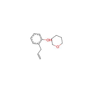 C1CCOCC1.C=CCc1ccccc1O